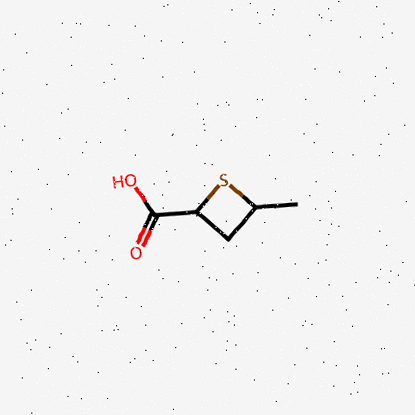 CC1C[C](C(=O)O)S1